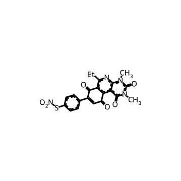 CCc1nc2c(c3c1C(=O)C(c1ccc(S[N+](=O)[O-])cc1)=CC3=O)c(=O)n(C)c(=O)n2C